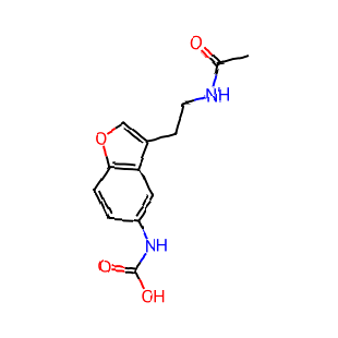 CC(=O)NCCc1coc2ccc(NC(=O)O)cc12